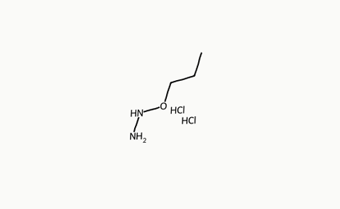 CCCONN.Cl.Cl